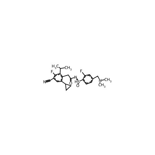 CC(C)c1c(F)c(C#N)cc(C2CC2)c1CC(=O)N=[SH](=O)c1ccc(CN(C)C)cc1F